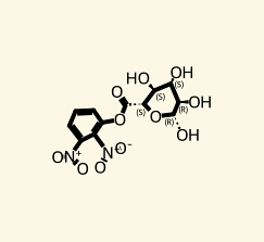 O=C(Oc1cccc([N+](=O)[O-])c1[N+](=O)[O-])[C@H]1O[C@@H](O)[C@H](O)[C@@H](O)[C@@H]1O